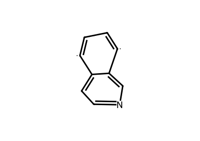 [c]1cc[c]c2cnccc12